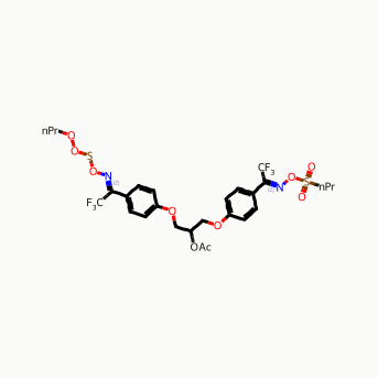 CCCOOSO/N=C(/c1ccc(OCC(COc2ccc(/C(=N/OS(=O)(=O)CCC)C(F)(F)F)cc2)OC(C)=O)cc1)C(F)(F)F